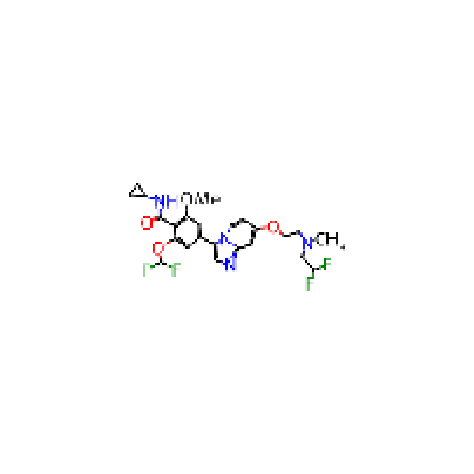 COc1cc(-c2cnc3cc(OCCN(C)CC(F)F)ccn23)cc(OC(F)F)c1C(=O)NC1CC1